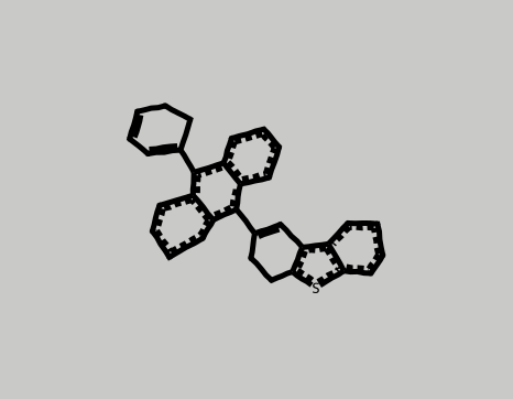 C1=CCCC(c2c3ccccc3c(C3=Cc4c(sc5ccccc45)CC3)c3ccccc23)=C1